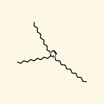 CCCCCCCCCCCCN1C=CN(CCCCCCCCCC)C1CCCCCCCCCC